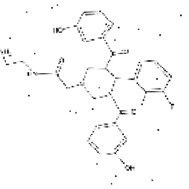 Cc1c(F)cccc1C1C(C(=O)c2cccc(O)c2)CN(CC(=O)NCCN)CC1C(=O)c1cccc(O)c1